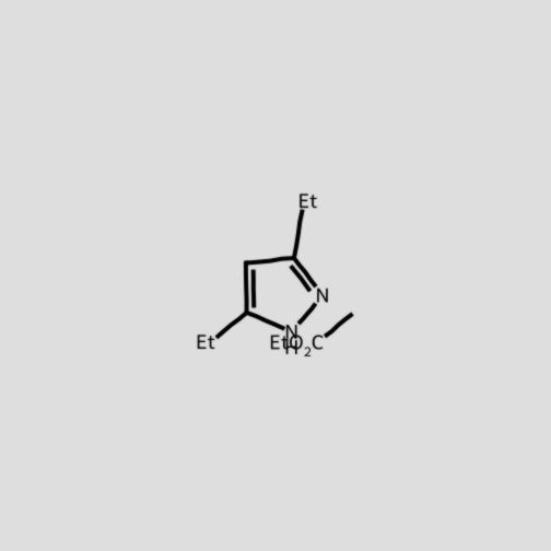 CCOC(C)=O.CCc1cc(CC)[nH]n1